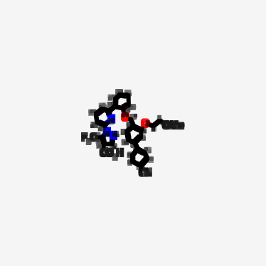 COCCOc1cc(-c2ccc(C#N)cc2)ccc1COc1ccccc1-c1cccc(-n2ncc(C(=O)O)c2C(F)(F)F)n1